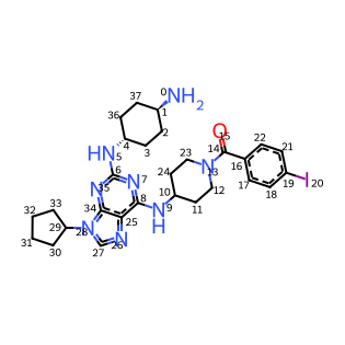 N[C@H]1CC[C@H](Nc2nc(NC3CCN(C(=O)c4ccc(I)cc4)CC3)c3ncn(C4CCCC4)c3n2)CC1